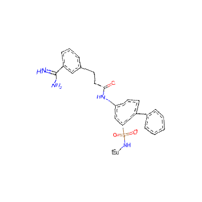 CC(C)(C)NS(=O)(=O)c1cc(NC(=O)CCc2cccc(C(=N)N)c2)ccc1-c1ccccc1